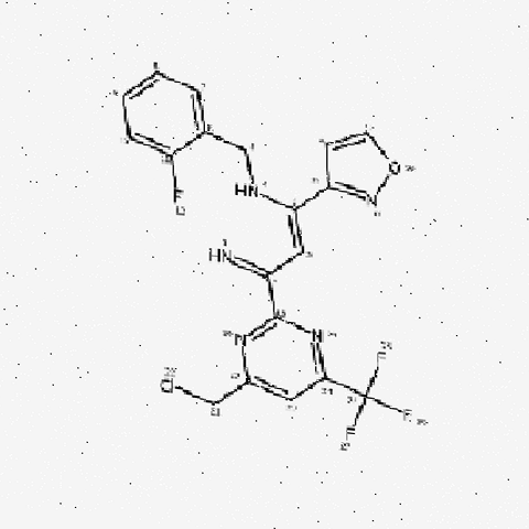 N=C(/C=C(\NCc1ccccc1F)c1ccon1)c1nc(CCl)cc(C(F)(F)F)n1